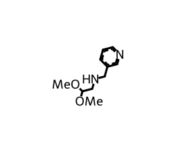 COC(CNCc1cccnc1)OC